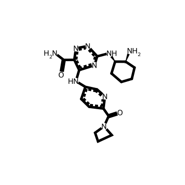 NC(=O)c1nnc(N[C@@H]2CCCC[C@@H]2N)nc1Nc1ccc(C(=O)N2CCC2)nc1